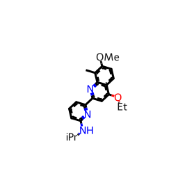 CCOc1cc(-c2cccc(NC(C)C)n2)nc2c(C)c(OC)ccc12